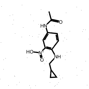 CC(=O)Nc1ccc(NCC2CC2)c([N+](=O)O)c1